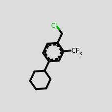 FC(F)(F)c1cc(C2CCCCC2)ccc1CCl